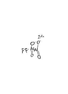 [F-].[F-].[O]=[Al][O-].[O]=[Al][O-].[Zr+4]